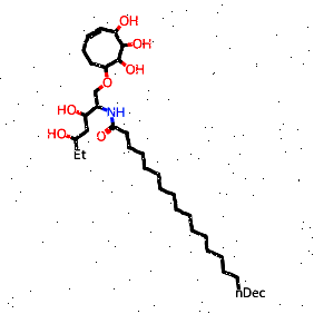 CCCCCCCCCCCCCCCCCCCCCCCCCC(=O)NC(COC1CC/C=C\C(O)C(O)C1O)C(O)CC(O)CC